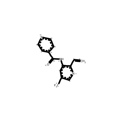 C=Cc1ncc(C(F)(F)F)cc1NC(=O)c1ccncc1